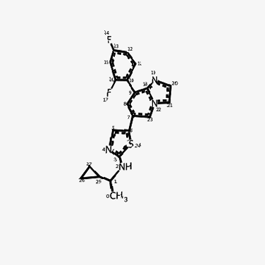 CC(Nc1ncc(-c2cc(-c3ccc(F)cc3F)c3nccn3c2)s1)C1CC1